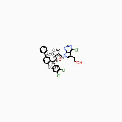 CC(=O)O[C@@H]1[C@@H]([C@H](c2ccc(Cl)c(Cl)c2)c2cc(-c3ccccc3)ccc2C(=O)O)O[C@@H](n2cc(CCO)c3c(Cl)ncnc32)[C@@H]1OC(C)=O